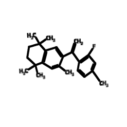 C=C(c1cc2c(cc1C)C(C)(C)CCC2(C)C)c1ccc(C)cc1F